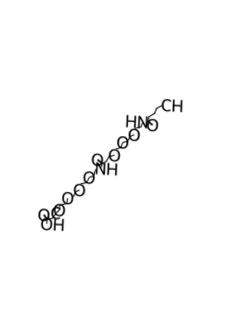 C#CCCCC(=O)NCCOCCOCCOCCC(=O)NCCOCCOCCOCCOCCC(=O)O